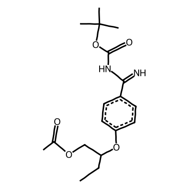 CCC(COC(C)=O)Oc1ccc(C(=N)NC(=O)OC(C)(C)C)cc1